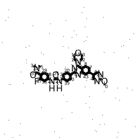 COc1ncc(-c2ccc3c(N4CCOCC4)nc(-c4ccc(NC(=O)Nc5ccc(C(=O)N(C)C)c(F)c5)cc4)nc3c2)cn1